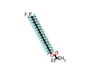 C=C(CC)C(=O)OC(F)(F)C(F)(F)C(F)(F)C(F)(F)C(F)(F)C(F)(F)C(F)(F)C(F)(F)C(F)(F)C(F)(F)C(F)(F)C(F)(F)C(F)(F)C(F)(F)C(F)(F)C(F)(F)F